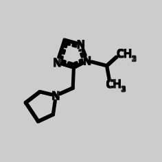 CC(C)n1ncnc1CN1CCCC1